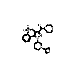 O=C(c1nn(C2CCCN(C3COC3)C2)c2c1CS(=O)(=O)c1ccccc1-2)N1CCOCC1